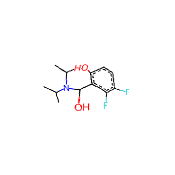 CC(C)N(C(C)C)C(O)c1c(O)ccc(F)c1F